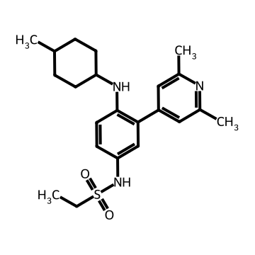 CCS(=O)(=O)Nc1ccc(NC2CCC(C)CC2)c(-c2cc(C)nc(C)c2)c1